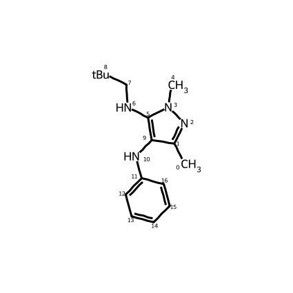 Cc1nn(C)c(NCC(C)(C)C)c1Nc1ccccc1